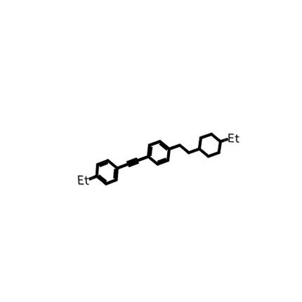 CCc1ccc(C#Cc2ccc(CCC3CCC(CC)CC3)cc2)cc1